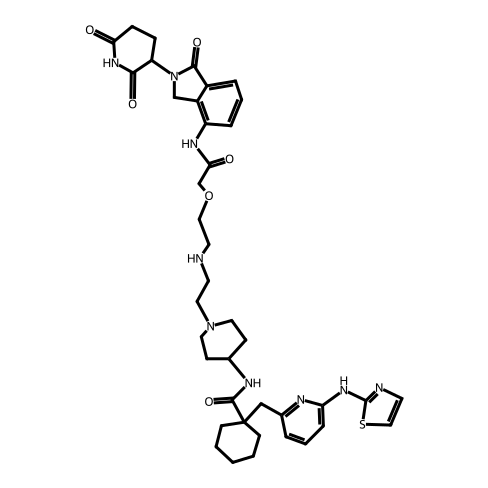 O=C1CCC(N2Cc3c(NC(=O)COCCNCCN4CCC(NC(=O)C5(Cc6cccc(Nc7nccs7)n6)CCCCC5)CC4)cccc3C2=O)C(=O)N1